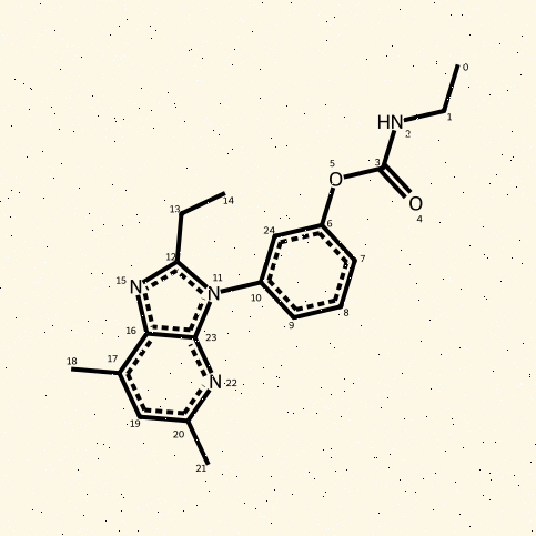 CCNC(=O)Oc1cccc(-n2c(CC)nc3c(C)cc(C)nc32)c1